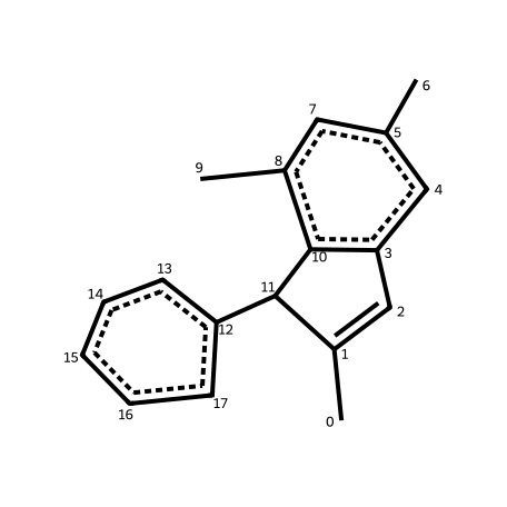 CC1=Cc2cc(C)cc(C)c2C1c1ccccc1